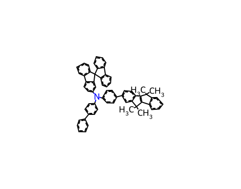 CC1(C)C2=C(c3ccccc31)C(C)(C)c1cc(-c3ccc(N(c4ccc(-c5ccccc5)cc4)c4ccc5c(c4)C4(c6ccccc6-c6ccccc64)c4ccccc4-5)cc3)ccc12